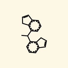 CC(c1cccc2c1CC=C2)c1cccc2c1CC=C2